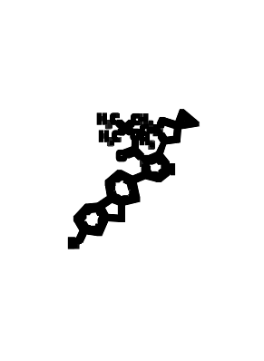 CN1CC2(CC2)C[C@H]1c1ncc(-c2ccc3c(c2)Cc2cc(Br)ccc2-3)n1C(=O)OC(C)(C)C